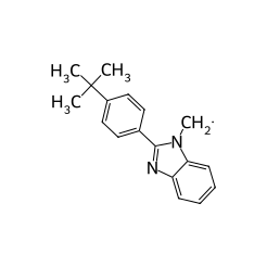 [CH2]n1c(-c2ccc(C(C)(C)C)cc2)nc2ccccc21